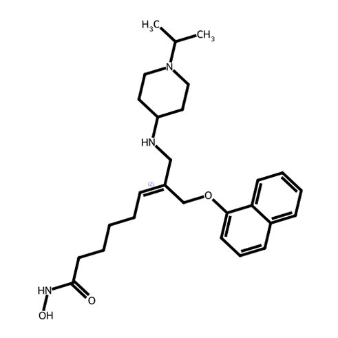 CC(C)N1CCC(NC/C(=C/CCCCC(=O)NO)COc2cccc3ccccc23)CC1